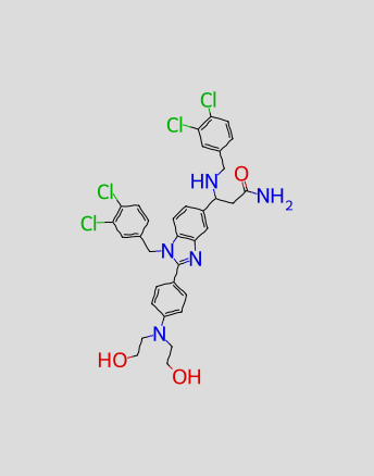 NC(=O)CC(NCc1ccc(Cl)c(Cl)c1)c1ccc2c(c1)nc(-c1ccc(N(CCO)CCO)cc1)n2Cc1ccc(Cl)c(Cl)c1